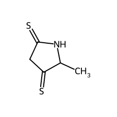 CC1NC(=S)CC1=S